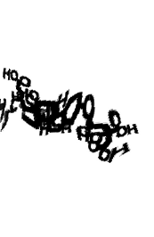 C[C@H](CCC(=O)O)[C@H]1CC[C@H]2[C@@H]3CC[C@@H]4C[C@H](OC(=O)CC(O)(CC(=O)O)C(=O)O)CC[C@]4(C)[C@H]3C[C@H](O)[C@]12C